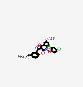 CCN(Oc1ccc(Cl)cc1Cl)C(=O)c1c(-c2cccc(CC(=O)O)c2)noc1-c1cccc(OC)c1